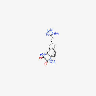 O=c1[nH]c2ccc3c(c2[nH]c1=O)CC(CCc1nnn[nH]1)C3